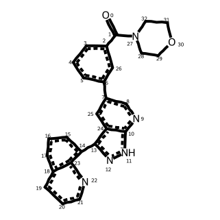 O=C(c1cccc(-c2cnc3[nH]nc(-c4cccc5cccnc45)c3c2)c1)N1CCOCC1